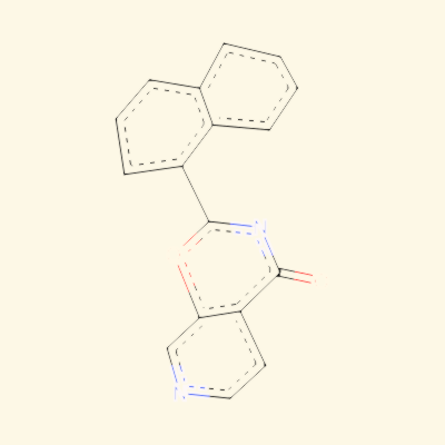 O=c1nc(-c2cccc3ccccc23)oc2cnccc12